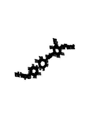 CCCCCCCc1ccc([C@H]2CC[C@H](C#Cc3ccc(CCCCC)c(F)c3)CC2)cc1